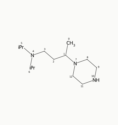 CC(CCN(C(C)C)C(C)C)N1CCNCC1